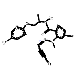 CCC#C/C=N\N(C)c1cc(F)ccc1C(=O)N(CC)C(C)COc1ccc(C(F)(F)F)cn1